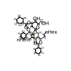 CCCCCC/C=C/C(OC(=O)c1ccccc1)C(CO[C@H]1O[C@H](CO)[C@H](O)[C@H](OC(=O)c2ccccc2)[C@H]1OC(=O)c1ccccc1)NC(=O)CCCCC